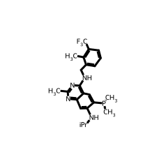 Cc1nc(NCc2cccc(C(F)(F)F)c2C)c2cc(P(C)C)c(NC(C)C)cc2n1